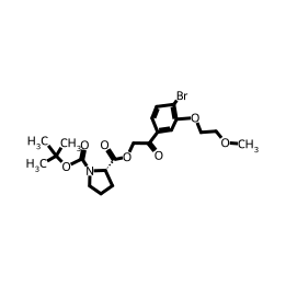 COCCOc1cc(C(=O)COC(=O)[C@@H]2CCCN2C(=O)OC(C)(C)C)ccc1Br